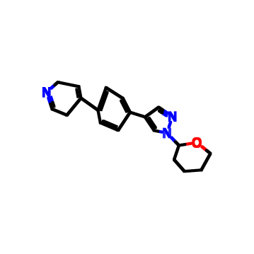 C1=NCC=C(c2ccc(-c3cnn(C4CCCCO4)c3)cc2)C1